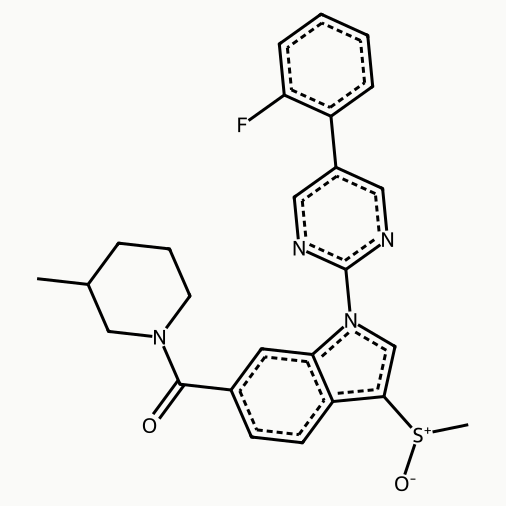 CC1CCCN(C(=O)c2ccc3c([S+](C)[O-])cn(-c4ncc(-c5ccccc5F)cn4)c3c2)C1